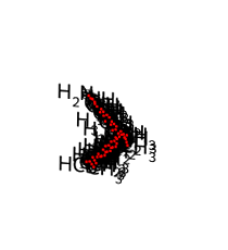 CC(=O)O.CC(=O)O.CC(C)C[C@H](N)C(=O)N[C@H](C(=O)N[C@@H](Cc1ccc(O)cc1)C(=O)O)C(C)C.CC(C)C[C@H](N)C(=O)O.CC(C)C[C@H](N)C(=O)OC(=O)[C@@H](N)CCCCN.CSCC[C@H](N)C(=O)O.Cc1cc(=O)oc2cc(N)ccc12.Cc1cc(=O)oc2cc(N)ccc12.Cc1cc(=O)oc2cc(N)ccc12.Cc1cc(=O)oc2cc(N)ccc12.Cc1cc(=O)oc2cc(N)ccc12.Cl